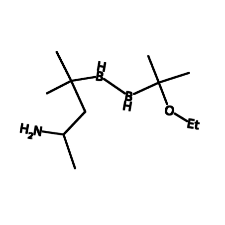 CCOC(C)(C)BBC(C)(C)CC(C)N